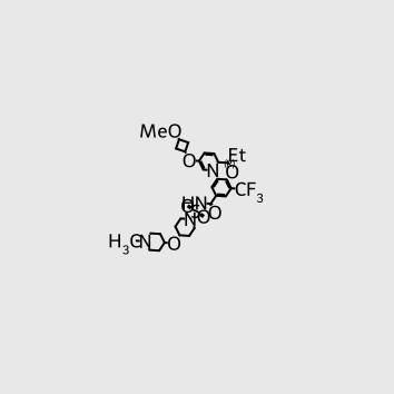 CC[C@@H](Oc1ccc(C(=O)NS(=O)(=O)N2CCC(OC3CCN(C)CC3)CC2)cc1C(F)(F)F)c1ccc(OC2CC(OC)C2)cn1